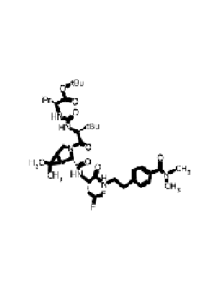 CC(C)[C@H](NC(=O)N[C@H](C(=O)N1CC2C([C@H]1C(=O)N[C@@H](CC(F)F)C(=O)NCCc1ccc(C(=O)N(C)C)cc1)C2(C)C)C(C)(C)C)C(=O)OC(C)(C)C